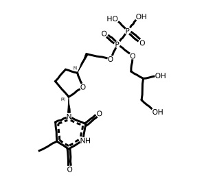 Cc1cn([C@H]2CC[C@@H](COP(=O)(OCC(O)CO)P(=O)(O)O)O2)c(=O)[nH]c1=O